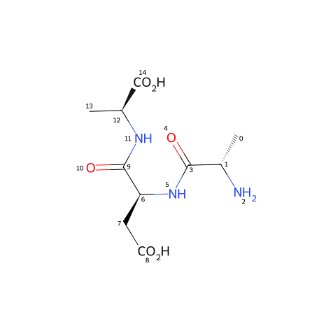 C[C@H](N)C(=O)N[C@@H](CC(=O)O)C(=O)N[C@@H](C)C(=O)O